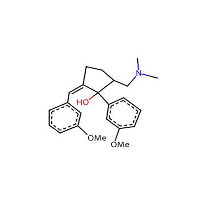 COc1cccc(C=C2CCC(CN(C)C)C2(O)c2cccc(OC)c2)c1